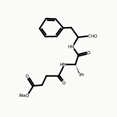 COC(=O)CCC(=O)N[C@H](C(=O)NC(C=O)Cc1ccccc1)C(C)C